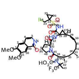 COc1cc2ccnc(O[C@@H]3C[C@H]4C(=O)N[C@]5(C(=O)NS(=O)(=O)C6(CF)CC6)C[C@H]5C=CCC[C@@H](C)C[C@@H](C)[C@H](N(C(=O)O)C(C)(C)C(F)(F)F)C(=O)N4C3)c2cc1OC